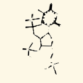 Cc1cn([C@@H]2O[C@H](CO[Si](C)(C)C(C)(C)C)C(O[Si](C)(C)C(C)(C)C)C2CC(C)(C)[Si](C)(C)O)c(=O)[nH]c1=O